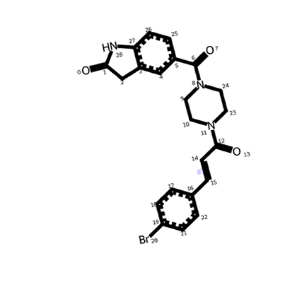 O=C1Cc2cc(C(=O)N3CCN(C(=O)/C=C/c4ccc(Br)cc4)CC3)ccc2N1